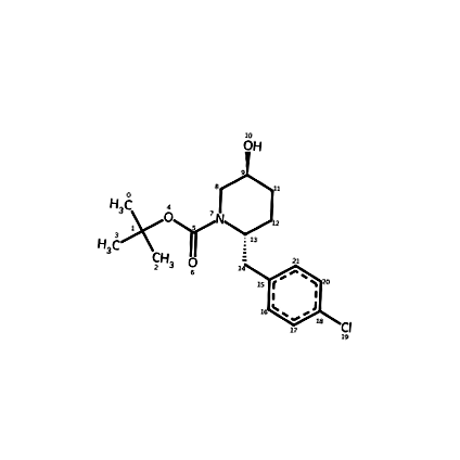 CC(C)(C)OC(=O)N1C[C@@H](O)CC[C@@H]1Cc1ccc(Cl)cc1